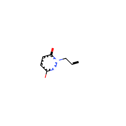 C=CCn1nc(O)ccc1=O